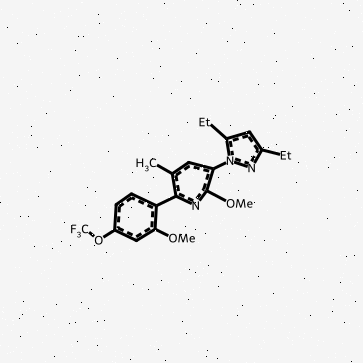 CCc1cc(CC)n(-c2cc(C)c(-c3ccc(OC(F)(F)F)cc3OC)nc2OC)n1